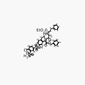 CCOC(=O)[C@H](CCc1ccccc1)N[C@@H](C)C(=O)N1CCc2ccc(NS(=O)(=O)c3ccc(Cl)c(S(N)(=O)=O)c3)cc2C1C(=O)OCc1ccccc1